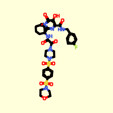 O=C(NC12CCC(CC1)Cn1c2nc(C(=O)NCc2ccc(F)cc2)c(O)c1=O)C(=O)N1CCN(S(=O)(=O)c2ccc(S(=O)(=O)N3CCOCC3)cc2)CC1